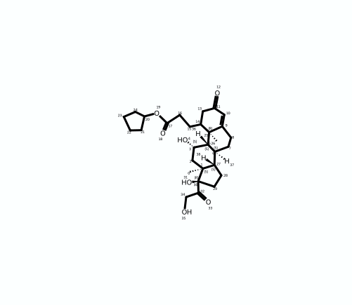 C[C@]12C[C@H](O)[C@H]3[C@@H](CCC4=CC(=O)CC(CCC(=O)OC5CCCC5)[C@@]43C)[C@@H]1CC[C@]2(O)C(=O)CO